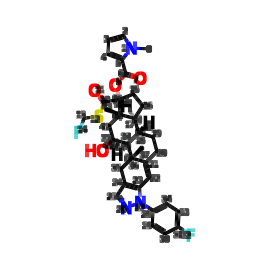 Cn1cccc1C(=O)O[C@]1(C(=O)SCF)CC[C@H]2[C@@H]3CCC4=Cc5c(cnn5-c5ccc(F)cc5)C[C@]4(C)[C@H]3[C@@H](O)C[C@@]21C